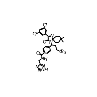 CC(C)(C)CCC(c1ccc(C(=O)NCc2nn[nH]n2)cc1)N1C(=O)C(c2cc(Cl)cc(Cl)c2)=NC12CCC(C)(C)CC2